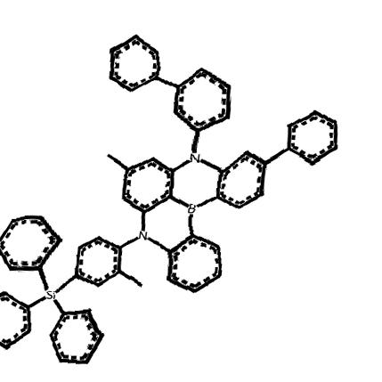 Cc1cc2c3c(c1)N(c1ccc([Si](c4ccccc4)(c4ccccc4)c4ccccc4)cc1C)c1ccccc1B3c1ccc(-c3ccccc3)cc1N2c1cccc(-c2ccccc2)c1